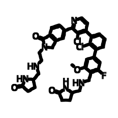 COc1cc(-c2cccc(-c3ccnc(-c4ccc5c(c4)CN(CCNCC4CCC(=O)N4)C5=O)c3Cl)c2Cl)cc(F)c1CNCC1CCC(=O)N1